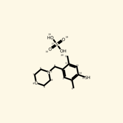 Cc1cc(CN2CCOCC2)c(C)cc1S.O=S(=O)(O)O